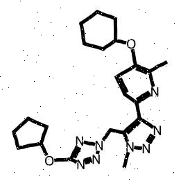 Cc1nc(-c2nnn(C)c2Cn2nnc(OC3CCCC3)n2)ccc1OC1CCCCC1